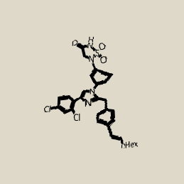 CCCCCC/C=C/c1ccc(Cc2nc(-c3ccc(Cl)cc3Cl)cn2-c2cccc(N3CC(=O)NS3(=O)=O)c2)cc1